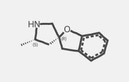 C[C@H]1C[C@@]2(CN1)Cc1ccccc1O2